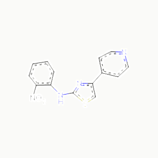 O=[N+]([O-])c1ccccc1Nc1nc(-c2ccncc2)cs1